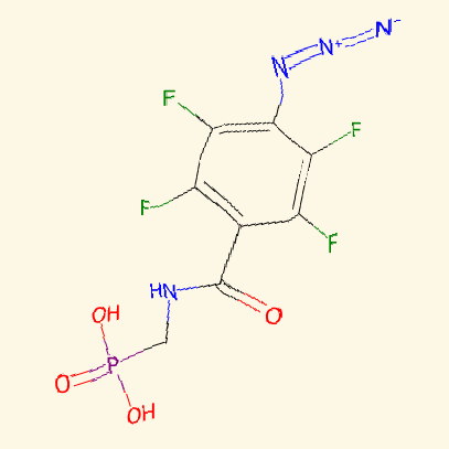 [N-]=[N+]=Nc1c(F)c(F)c(C(=O)NCP(=O)(O)O)c(F)c1F